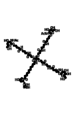 CC(=O)NC1C(O)CC(CO)OC1OCCCCC(=O)NCCCNC(=O)CCOCC(COCCC(=O)NCCCNC(=O)CCCCOC1OC(CO)C(O)C(O)C1NC(C)=O)(COCCC(=O)NCCCNC(=O)CCCCOC1OC(CO)C(O)C(O)C1NC(C)=O)NC(=O)CCCCCCCCCCC(=O)N1C[C@H](O)C[C@H]1COP(=O)(O)O